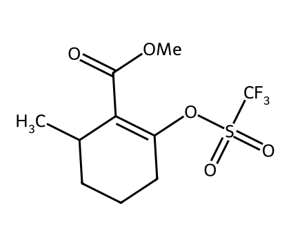 COC(=O)C1=C(OS(=O)(=O)C(F)(F)F)CCCC1C